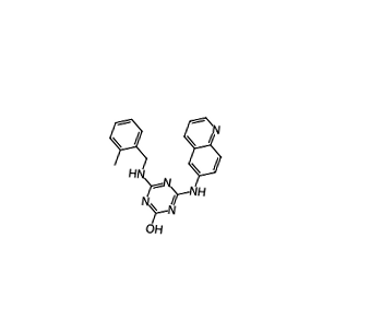 Cc1ccccc1CNc1nc(O)nc(Nc2ccc3ncccc3c2)n1